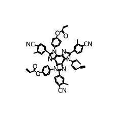 C#C/C=C\C(=C/C)n1c(-c2ccc(C#N)c(C)c2)nc2c1c1nc(-c3ccc(C#N)c(C)c3)n(-c3ccc(OC(=O)C=C)cc3)c1c1nc(-c3ccc(C#N)c(C)c3)n(-c3ccc(OC(=O)C=C)cc3)c21